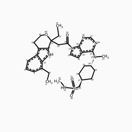 CCc1cccc2c3c([nH]c12)C(CC)(CC(=O)n1ccc2c(N(C)[C@H]4CC[C@H](CS(=O)(=O)NC)CC4)ncnc21)OCC3